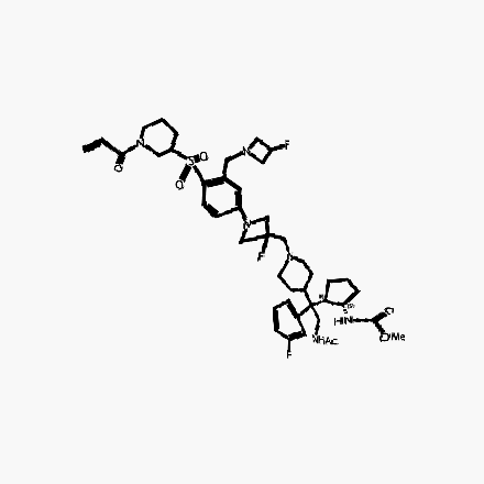 C=CC(=O)N1CCCC(S(=O)(=O)c2ccc(N3CC(F)(CN4CCC(C(CNC(C)=O)(c5cccc(F)c5)[C@H]5CCC[C@@H]5NC(=O)OC)CC4)C3)cc2CN2CC(F)C2)C1